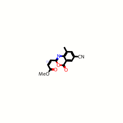 COC(=O)/C=C\c1nc2c(C)cc(C#N)cc2c(=O)o1